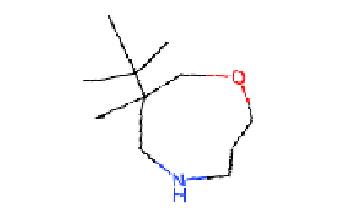 CC(C)(C)C1(C)CNCCOC1